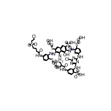 Nc1c(/N=N/c2cc(NC(=O)CCCS(=O)(=O)CCCl)ccc2SOOO)c(SOOO)cc2cc(S(=O)(=O)O)c(/N=N/c3cc(Nc4nc(Cl)nc(Nc5cc(NC(=O)C(Br)CBr)ccc5S(=O)(=O)O)n4)ccc3SOOO)c(O)c12